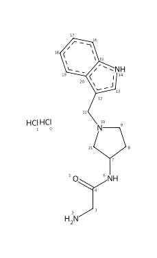 Cl.Cl.NCC(=O)NC1CCN(Cc2c[nH]c3ccccc23)C1